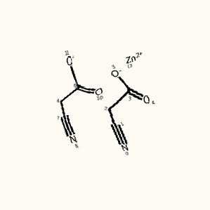 N#CCC(=O)[O-].N#CCC(=O)[O-].[Zn+2]